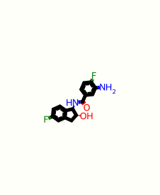 Nc1cc(C(=O)N[C@@H]2c3ccc(F)cc3C[C@H]2O)ccc1F